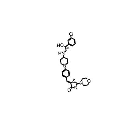 O=C1N=C(N2CCOCC2)SC1=Cc1ccc(N2CCC(NC[C@@H](O)c3cccc(Cl)c3)CC2)cc1